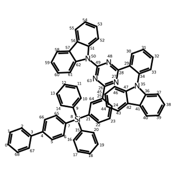 c1ccc(-c2ccc([Si](c3ccccc3)(c3ccccc3)c3cccc(-c4nc(-c5ccccc5-n5c6ccccc6c6ccccc65)nc(-n5c6ccccc6c6ccccc65)n4)c3)cc2)cc1